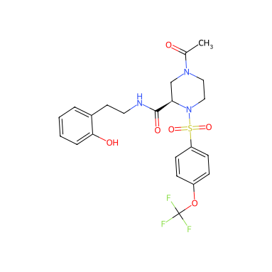 CC(=O)N1CCN(S(=O)(=O)c2ccc(OC(F)(F)F)cc2)[C@@H](C(=O)NCCc2ccccc2O)C1